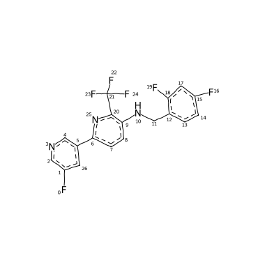 Fc1cncc(-c2ccc(NCc3ccc(F)cc3F)c(C(F)(F)F)n2)c1